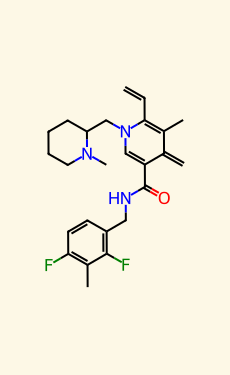 C=CC1=C(C)C(=C)C(C(=O)NCc2ccc(F)c(C)c2F)=CN1CC1CCCCN1C